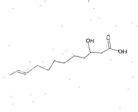 CC=CCCCCCCC(O)CC(=O)O